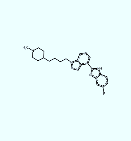 CN1CCC(CCCCn2ccc3c(-c4nc5cc(F)ccc5[nH]4)cccc32)CC1